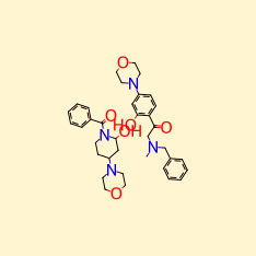 CN(CC(=O)c1ccc(N2CCOCC2)cc1O)Cc1ccccc1.O=C(c1ccccc1)N1CCC(N2CCOCC2)CC1O